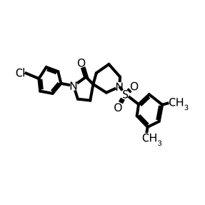 Cc1cc(C)cc(S(=O)(=O)N2CCCC3(CCN(c4ccc(Cl)cc4)C3=O)C2)c1